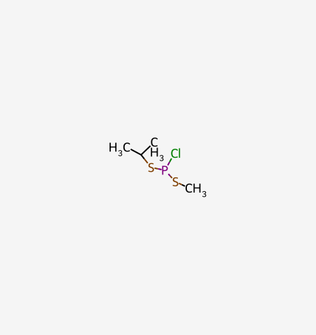 CSP(Cl)SC(C)C